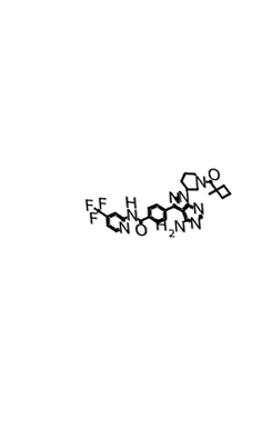 CC1(C(=O)N2CCCC(n3nc(-c4ccc(C(=O)Nc5cc(C(F)(F)F)ccn5)cc4)c4c(N)ncnc43)C2)CCC1